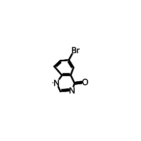 O=C1N=C[N]c2ccc(Br)cc21